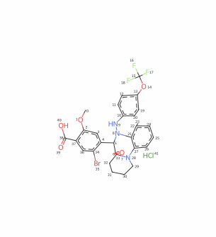 COc1cc(C(C=O)N(Nc2ccc(OC(F)(F)F)cc2)c2c(C)cccc2N2CCCCC2)c(Br)cc1C(=O)O.Cl